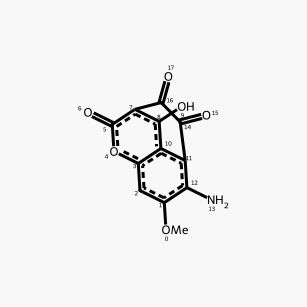 COc1cc2oc(=O)c3c(O)c2c(c1N)C(=O)C3=O